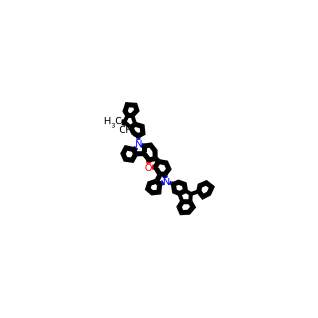 CC1(C)c2ccccc2-c2ccc(-n3c4ccccc4c4c5oc6c(ccc7c6c6ccccc6n7-c6ccc7c(c6)-c6ccccc6C7c6ccccc6)c5ccc43)cc21